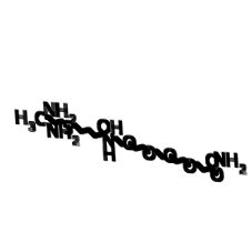 CC(N)C(N)CSCCCCC(O)NCCOCCOCCOCCOCCC(=O)ON